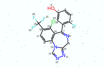 Oc1ccc(F)c(C2=NCc3nncn3-c3ccc(C(F)(F)F)c(Cl)c32)c1